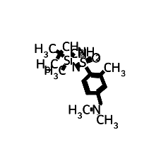 Cc1cc(CN(C)C)ccc1S(N)(=O)=N[Si](C)(C)C(C)(C)C